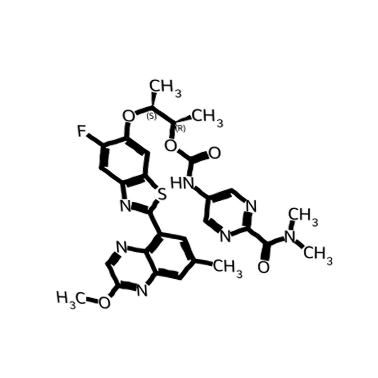 COc1cnc2c(-c3nc4cc(F)c(O[C@@H](C)[C@@H](C)OC(=O)Nc5cnc(C(=O)N(C)C)nc5)cc4s3)cc(C)cc2n1